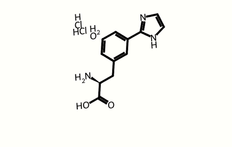 Cl.Cl.N[C@@H](Cc1cccc(-c2ncc[nH]2)c1)C(=O)O.O